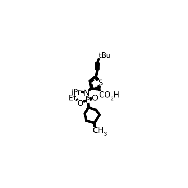 CCOP(=O)(C1CCC(C)CC1)N(c1cc(C#CC(C)(C)C)sc1C(=O)O)C(C)C